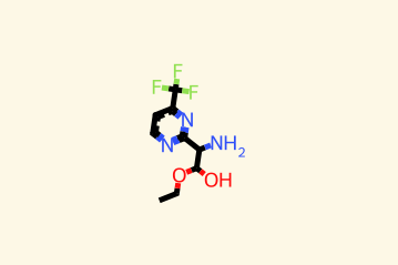 CCOC(O)C(N)c1nccc(C(F)(F)F)n1